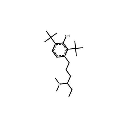 CCC(CCCc1ccc(C(C)(C)C)c(O)c1C(C)(C)C)N(C)C